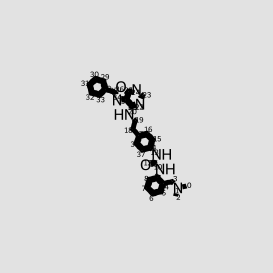 CN(C)Cc1ccccc1NC(=O)Nc1ccc(CCNc2ncnc3oc(-c4ccccc4)nc23)cc1